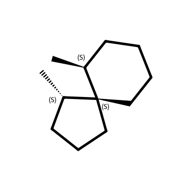 C[C@H]1CCCC[C@]12CCC[C@@H]2C